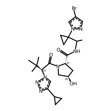 CC(NC(=O)[C@@H]1C[C@@H](O)CN1C(=O)[C@@H](n1cc(C2CC2)nn1)C(C)(C)C)C1(n2cc(Br)cn2)CC1